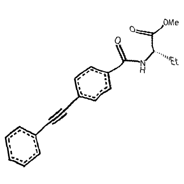 CC[C@H](NC(=O)c1ccc(C#Cc2ccccc2)cc1)C(=O)OC